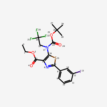 CCOC(=O)c1nc(-c2cccc(I)c2)sc1N(CC(F)(F)F)C(=O)OC(C)(C)C